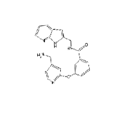 NCc1cc(Oc2cccc(C(=O)NCc3cc4cccnc4[nH]3)c2)ncn1